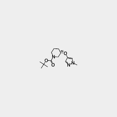 Cn1cc(O[C@H]2CCCN(C(=O)OC(C)(C)C)C2)cn1